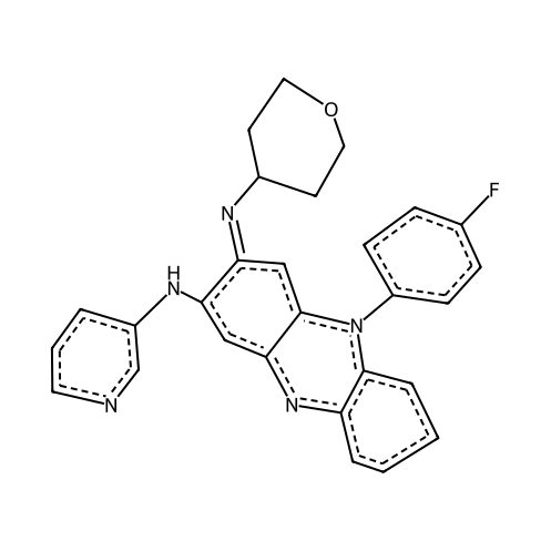 Fc1ccc(-n2c3c/c(=N\C4CCOCC4)c(Nc4cccnc4)cc-3nc3ccccc32)cc1